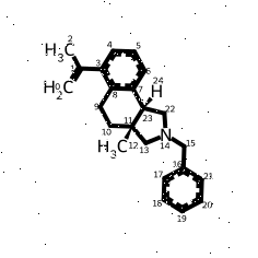 C=C(C)c1cccc2c1CC[C@@]1(C)CN(Cc3ccccc3)C[C@@H]21